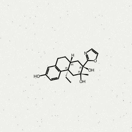 CC[C@@]12C[C@@](C)(O)[C@@](O)(c3ncco3)C[C@H]1CCc1cc(O)ccc12